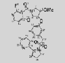 COC1CN(C(=O)c2c(F)cccc2Cl)CC1Oc1cccc(CS(=O)(=O)N2CCCC2c2ccccn2)c1